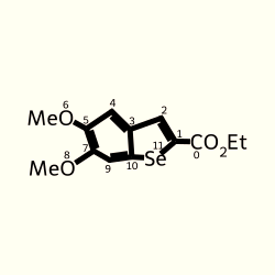 CCOC(=O)c1cc2cc(OC)c(OC)cc2[se]1